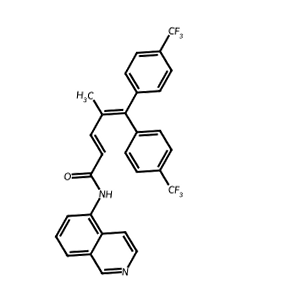 CC(C=CC(=O)Nc1cccc2cnccc12)=C(c1ccc(C(F)(F)F)cc1)c1ccc(C(F)(F)F)cc1